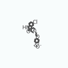 C[S+]([O-])c1ccc(OCCN2CCC3(CC2)C(=O)Nc2ccc(Cl)cc23)cc1